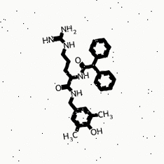 Cc1cc(CNC(=O)C(CCCNC(=N)N)NC(=O)C(c2ccccc2)c2ccccc2)cc(C)c1O